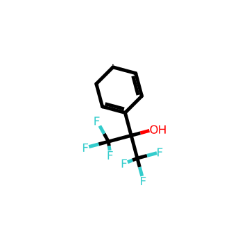 OC(C1=CC[CH]C=C1)(C(F)(F)F)C(F)(F)F